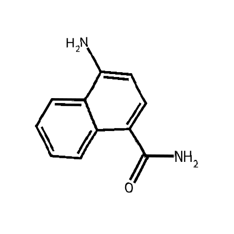 NC(=O)c1ccc(N)c2ccccc12